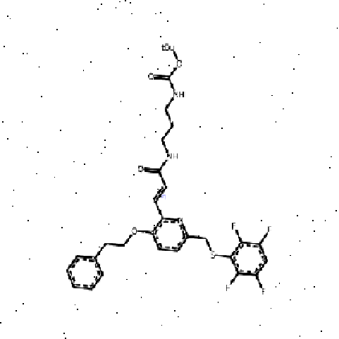 CC(C)(C)OC(=O)NCCCNC(=O)/C=C/c1nc(CSc2c(F)c(F)cc(F)c2F)ccc1OCCc1ccccc1